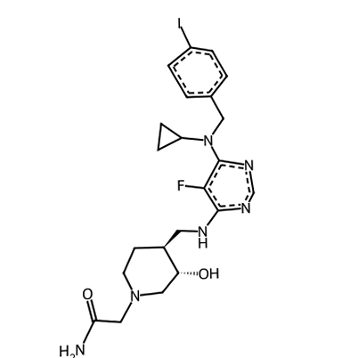 NC(=O)CN1CC[C@@H](CNc2ncnc(N(Cc3ccc(I)cc3)C3CC3)c2F)[C@H](O)C1